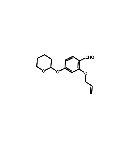 C=CCOc1cc(OC2CCCCO2)ccc1C=O